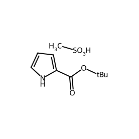 CC(C)(C)OC(=O)c1ccc[nH]1.CS(=O)(=O)O